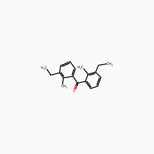 CCc1cccc(C(=O)c2cccc(CC)c2C)c1C